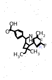 C=C(F)C1=C(/C=C/F)C2C(CC2(C)CC)C(c2ccc(C(=O)O)cc2)N1